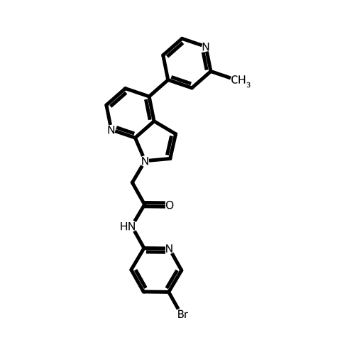 Cc1cc(-c2ccnc3c2ccn3CC(=O)Nc2ccc(Br)cn2)ccn1